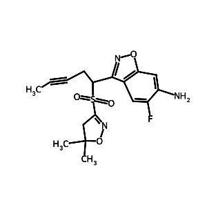 CC#CCC(c1noc2cc(N)c(F)cc12)S(=O)(=O)C1=NOC(C)(C)C1